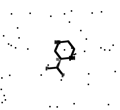 FC(F)[C@@H]1CNCCN1